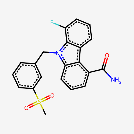 CS(=O)(=O)c1cccc(Cn2c3cccc(C(N)=O)c3c3[c]ccc(F)c32)c1